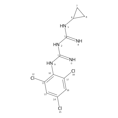 N=C(NC(=N)NC1CC1)Nc1c(Cl)cc(Cl)cc1Cl